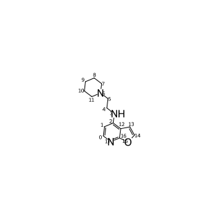 c1cc(NCCN2CCCCC2)c2ccoc2n1